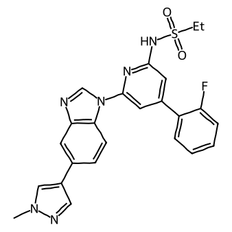 CCS(=O)(=O)Nc1cc(-c2ccccc2F)cc(-n2cnc3cc(-c4cnn(C)c4)ccc32)n1